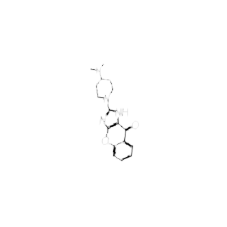 CN(C)C1CCN(c2nc3oc4ccccc4c(=O)c3[nH]2)CC1